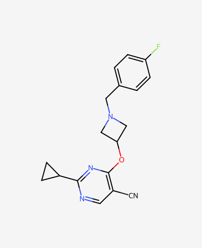 N#Cc1cnc(C2CC2)nc1OC1CN(Cc2ccc(F)cc2)C1